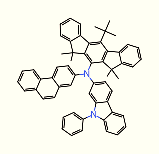 CC(C)(C)c1c2c(c(N(c3ccc4c(ccc5ccccc54)c3)c3ccc4c5ccccc5n(-c5ccccc5)c4c3)c3c1-c1ccccc1C3(C)C)C(C)(C)c1ccccc1-2